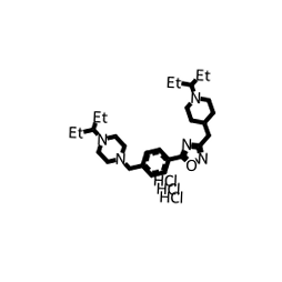 CCC(CC)N1CCC(Cc2noc(-c3ccc(CN4CCN(C(CC)CC)CC4)cc3)n2)CC1.Cl.Cl.Cl